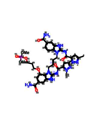 CCn1nc(C)cc1C(=O)/N=c1/[nH]c2cc(C(N)=O)ccc2n1C/C=C/Cn1/c(=N\C(=O)c2cc(C)nn2CC)[nH]c2cc(C(N)=O)cc(OCCCOP(=O)(OC)OC)c21